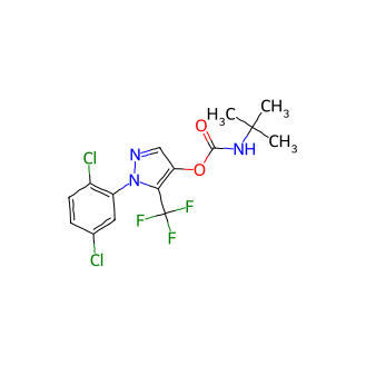 CC(C)(C)NC(=O)Oc1cnn(-c2cc(Cl)ccc2Cl)c1C(F)(F)F